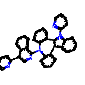 c1ccc(-c2cnc(N3c4ccccc4-c4c(n(-c5ccccn5)c5ccccc45)-c4ccccc43)c3ccccc23)nc1